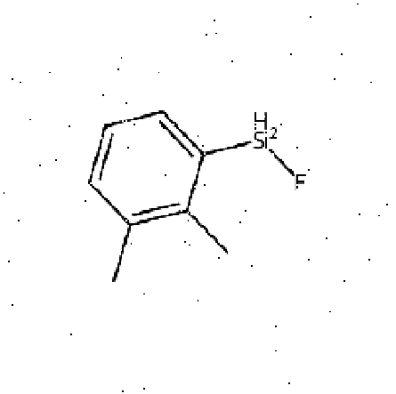 Cc1cccc([SiH2]F)c1C